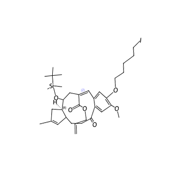 C=CCOC(=O)/C1=C\c2cc(OCCCCCI)c(OC)cc2C(=O)CCC2C=C(C)C[C@H]2C(O[Si](C)(C)C(C)(C)C)C1